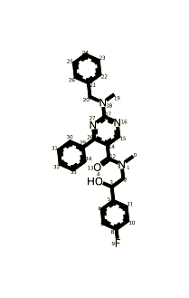 CN(CC(O)c1ccc(F)cc1)C(=O)c1cnc(N(C)Cc2ccccc2)nc1-c1ccccc1